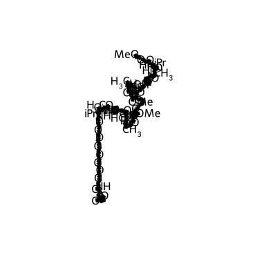 COCCOCCC(=O)N[C@@H](C(=O)N[C@H](C)C(=O)Nc1ccc(COC(=O)N2c3cc(OCCCCCOc4cc5c(cc4OC)C(=O)N4C=C(C)C[C@H]4[C@H](O)N5C(=O)OCc4ccc(NC(=O)[C@@H](C)NC(=O)[C@H](NCOCCOCCOCCOCCOCCOCCOCCOCCNC(=O)CCN5C(=O)C=CC5=O)C(C)C)cc4)c(OC)cc3C(=O)N3C=C(C)C[C@H]3[C@@H]2O)cc1)C(C)C